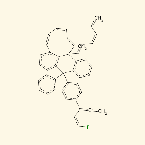 C=C=C(/C=C\F)c1ccc(C2(c3ccccc3)c3ccccc3C3(C=C/C=C\C=C)/C(C)=C/C=C\C=Cc4cccc2c43)cc1